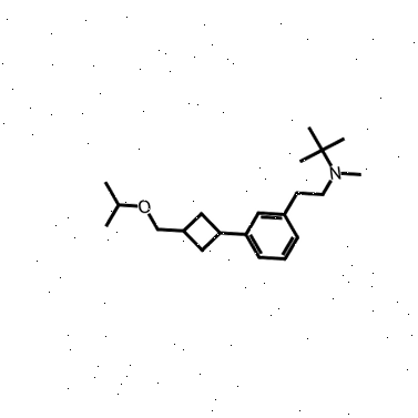 CC(C)OCC1CC(c2cccc(CCN(C)C(C)(C)C)c2)C1